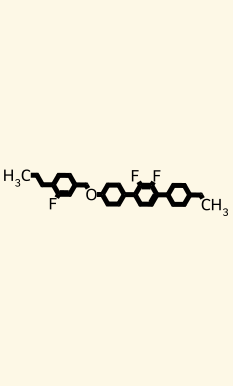 CCCC1CCC(COC2CCC(C3CC=C(C4CCC(CC)CC4)C(F)=C3F)CC2)C=C1F